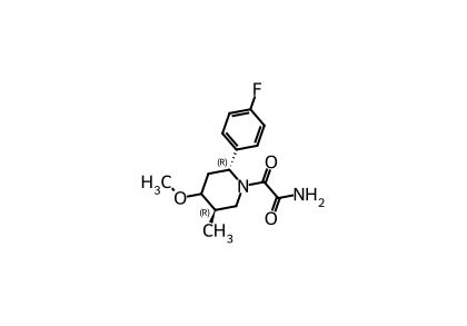 COC1C[C@H](c2ccc(F)cc2)N(C(=O)C(N)=O)C[C@H]1C